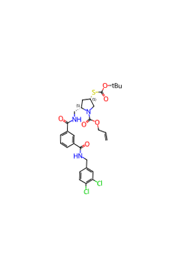 C=CCOC(=O)N1C[C@@H](SC(=O)OC(C)(C)C)C[C@H]1CNC(=O)c1cccc(C(=O)NCc2ccc(Cl)c(Cl)c2)c1